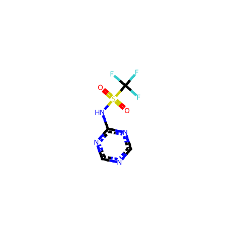 O=S(=O)(Nc1ncncn1)C(F)(F)F